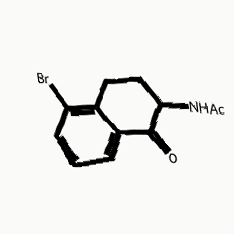 CC(=O)NC1CCc2c(Br)cccc2C1=O